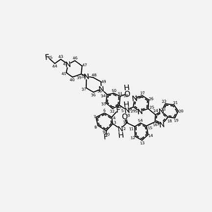 O=C(Nc1c(F)cccc1F)c1cccc(-c2nc3ccccn3c2-c2ccnc(Nc3ccc(N4CCN(C5CCN(CCF)CC5)CC4)cc3O)n2)c1